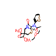 CC(=O)N(c1cccs1)C1C(=O)N2CC(C(=O)O)(C(C)O)CS[C@H]12.CCOCC